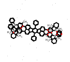 Cc1cc2c(cc1-c1ccc3c4c(-c5ccccc5)c5c6ccc(-c7cc8c(cc7C)N(c7ccccc7)C7(C)CCCCC87C)c7c(-c8cc9c(cc8C)N(c8ccccc8)C8(C)CCCCC98C)ccc(c5c(-c5ccccc5)c4c4ccc(-c5cc8c(cc5C)N(c5ccccc5)C5(C)CCCCC85C)c1c34)c76)C1(C)CCCCC1(C)N2c1ccccc1